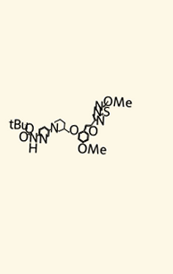 COc1cc(OCC2CCCN(c3ccc(NC(=O)OC(C)(C)C)nc3)C2)c2cc(-c3cn4nc(OC)sc4n3)oc2c1